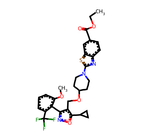 CCOC(=O)c1ccc2nc(N3CCC(OCc4c(-c5c(OC)cccc5C(F)(F)F)noc4C4CC4)CC3)sc2c1